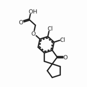 O=C(O)COc1cc2c(c(Cl)c1Cl)C(=O)C1(CCCC1)C2